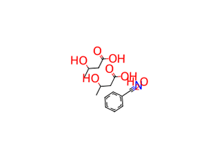 CC(O)CC(=O)O.CC(O)CC(=O)O.N#Cc1ccccc1.O